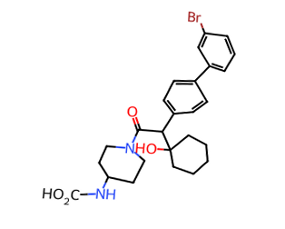 O=C(O)NC1CCN(C(=O)C(c2ccc(-c3cccc(Br)c3)cc2)C2(O)CCCCC2)CC1